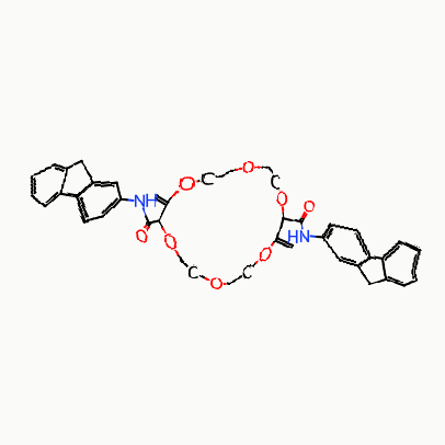 C=C1OCCOCCOC(C(=O)Nc2ccc3c(c2)Cc2ccccc2-3)C(=C)OCCOCCOC1C(=O)Nc1ccc2c(c1)Cc1ccccc1-2